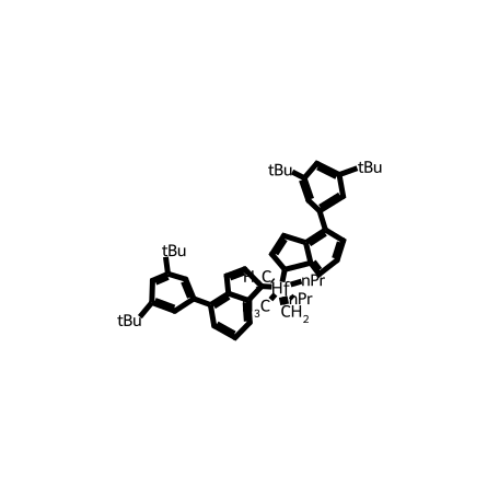 [CH2]=[Hf]([CH3])([CH3])([CH2]CC)([CH2]CC)([CH]1C=Cc2c(-c3cc(C(C)(C)C)cc(C(C)(C)C)c3)cccc21)[CH]1C=Cc2c(-c3cc(C(C)(C)C)cc(C(C)(C)C)c3)cccc21